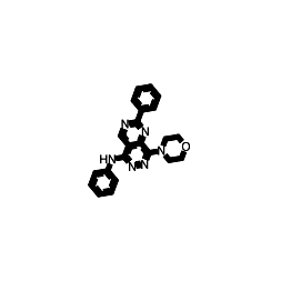 c1ccc(Nc2nnc(N3CCOCC3)c3nc(-c4ccccc4)ncc23)cc1